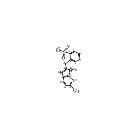 CCS(=O)(=O)c1ccccc1Cc1nc2ccc(C(F)(F)F)nc2n1C